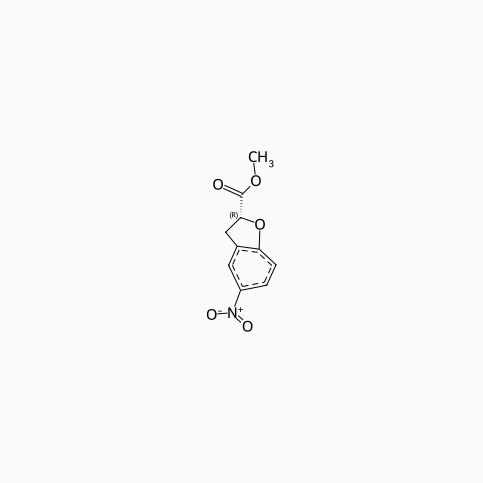 COC(=O)[C@H]1Cc2cc([N+](=O)[O-])ccc2O1